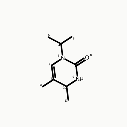 CC1=CN(C(C)C)C(=O)NC1C